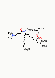 CCCCCCCCCCN(C(=O)CCCN(C)C)C(CCCCCC(=O)O)CCCCC(CC(CCCCCC)CCCCCCCC)C(=O)OCC(CCCCCC)CCCCCCCC